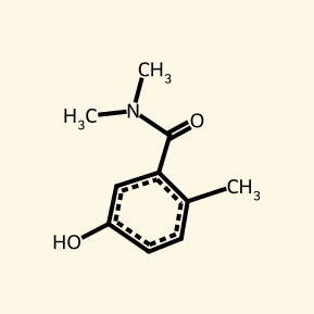 Cc1ccc(O)cc1C(=O)N(C)C